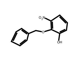 O=[N+]([O-])c1cccc(O)c1OCc1ccccc1